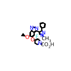 Cn1cc(-c2ncnc3cc(OC4CC4)c(O[C@@H]4CCN(C(=O)O)C[C@H]4F)cc23)c(-c2ccccc2)n1